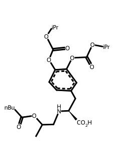 CCCCC(=O)OC(C)CN[C@@H](Cc1ccc(OC(=O)OC(C)C)c(OC(=O)OC(C)C)c1)C(=O)O